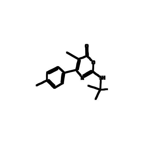 Cc1ccc(-c2nc(NC(C)(C)C)oc(=O)c2C)cc1